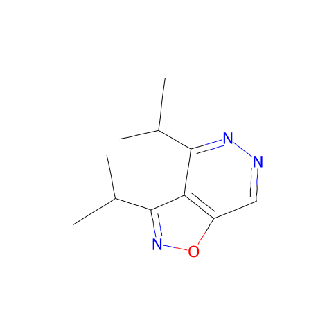 CC(C)c1nncc2onc(C(C)C)c12